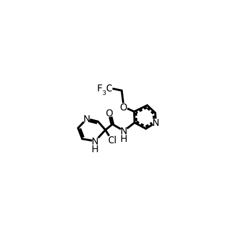 O=C(Nc1cnccc1OCC(F)(F)F)C1(Cl)C=NC=CN1